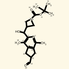 Cc1nc(C(O)C2CN(C(=O)OC(C)(C)C)C2)c(C)c2c1CC(C=O)C2